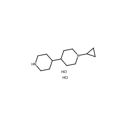 C1CC(C2CCN(C3CC3)CC2)CCN1.Cl.Cl